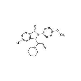 COc1ccc(N2C(=O)c3ccc(Cl)cc3C2C(C=O)N2CCCCC2)cc1